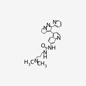 CN(C)CCCNC(=O)Nc1ccc2c(-c3c(-c4ccccn4)nn4c3CCC4)ccnc2c1